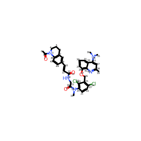 CC(=O)N1CCCc2cc(C=CC(=O)NCC(=O)N(C)c3ccc(Cl)c(COc4cccc5c(N(C)C)cc(C)nc45)c3Cl)ccc21